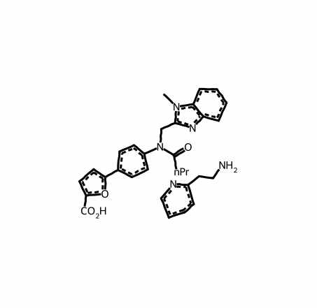 CCCC(=O)N(Cc1nc2ccccc2n1C)c1ccc(-c2ccc(C(=O)O)o2)cc1.NCCc1ccccn1